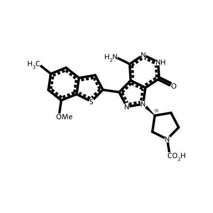 COc1cc(C)cc2cc(-c3nn([C@H]4CCN(C(=O)O)C4)c4c(=O)[nH]nc(N)c34)sc12